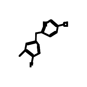 Cc1cc(Cc2ccc(Cl)cn2)ccc1F